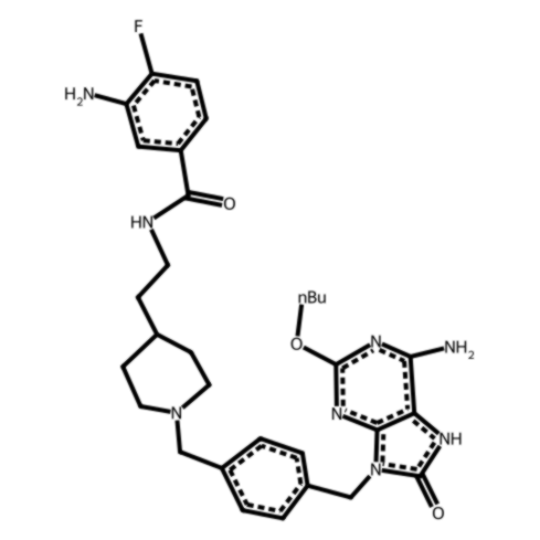 CCCCOc1nc(N)c2[nH]c(=O)n(Cc3ccc(CN4CCC(CCNC(=O)c5ccc(F)c(N)c5)CC4)cc3)c2n1